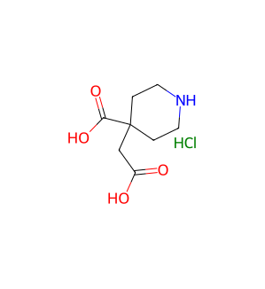 Cl.O=C(O)CC1(C(=O)O)CCNCC1